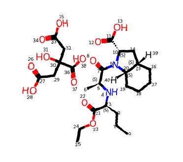 CCC[C@H](N[C@@H](C)C(=O)N1[C@H](C(=O)O)C[C@@H]2CCCC[C@@H]21)C(=O)OCC.O=C(O)CC(O)(CC(=O)O)C(=O)O